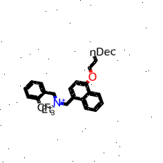 CCCCCCCCCCCCOc1ccc(C[N+](CC)Cc2ccccc2C(F)(F)F)c2ccccc12